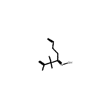 C=CCC/C(=N\O)C(C)(C)C(=C)C